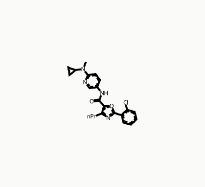 CCCc1nc(-c2ccccc2Cl)oc1C(=O)Nc1ccc(N(C)C2CC2)nc1